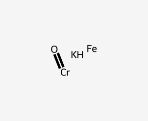 [Fe].[KH].[O]=[Cr]